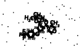 CC1COCCN1C(=O)[C@@H]1C[C@@H](Oc2ccc(C(F)(F)F)cc2)CN1C(=O)OC(C)(C)C